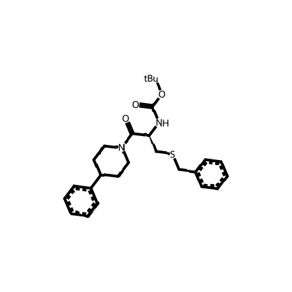 CC(C)(C)OC(=O)N[C@@H](CSCc1ccccc1)C(=O)N1CCC(c2ccccc2)CC1